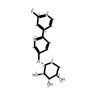 O[C@@H]1[C@@H](O)[C@H](Oc2ccc(-c3ccnc(F)c3)nc2)SC[C@H]1O